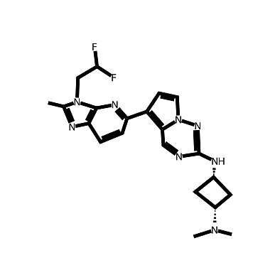 Cc1nc2ccc(-c3ccn4nc(N[C@H]5C[C@@H](N(C)C)C5)ncc34)nc2n1CC(F)F